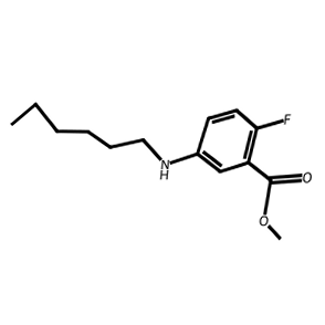 CCCCCCNc1ccc(F)c(C(=O)OC)c1